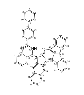 c1ccc(-c2ccc(C3=Nc4ccccc4C(n4c5cc6ccccc6cc5c5c6c7ccccc7n7c8ccccc8c(cc54)c67)N3)cc2)cc1